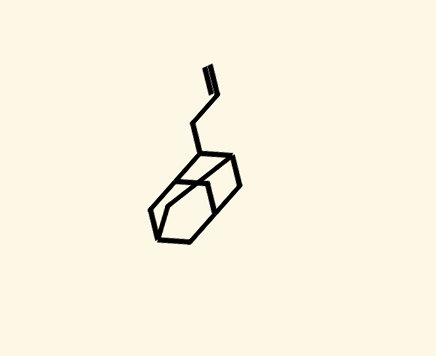 C=CC[C]1C2CC3CC(C2)CC1C3